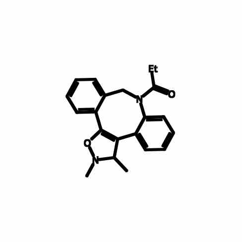 CCC(=O)N1Cc2ccccc2C2=C(c3ccccc31)C(C)N(C)O2